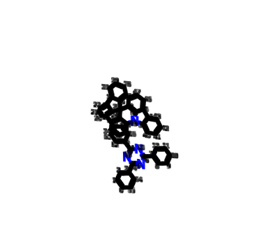 c1ccc(-c2nc(-c3ccccc3)nc(-c3ccc(-c4cccc5c4C4(c6ccccc6-5)c5ccccc5-n5c6ccccc6c6cccc4c65)cc3)n2)cc1